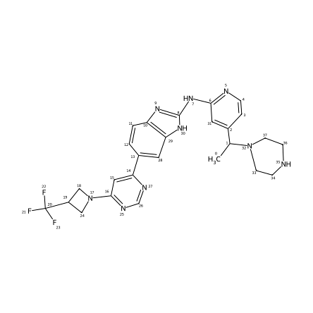 CC(c1ccnc(Nc2nc3ccc(-c4cc(N5CC(C(F)(F)F)C5)ncn4)cc3[nH]2)c1)N1CCNCC1